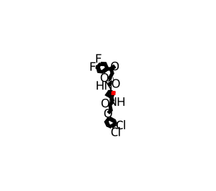 O=C(COc1ccc(Cl)c(Cl)c1)NC12CC(NC(=O)[C@H]3CC(=O)c4cc(F)c(F)cc4O3)(C1)C2